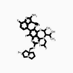 CC(O)C1C(C)Oc2c(Cl)c(-c3ccc(F)c4sc(N)c(C#N)c34)c(F)c3nc(OC[C@@]45CCCN4C[C@H](F)C5)nc(c23)N1CC(F)F